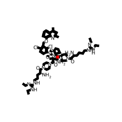 CCN=C(NCC)NCCCC[C@H](N)C(=O)N1CCN(C(=O)C2(N(C(C)(C(N)=O)C(=O)N3CCN(C(=O)[C@H](N)CCCNC(=NCC)NCC)CC3)S(=O)(=O)c3ccc(Cl)c(COc4cccc5c(C)cc(C)nc45)c3Cl)CCCC2)CC1